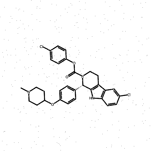 CN1CCC(Oc2ccc([C@H]3c4[nH]c5ccc(Cl)cc5c4CCN3C(=O)Oc3ccc(Cl)cc3)cc2)CC1